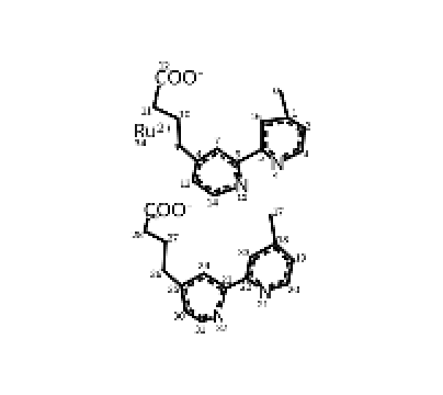 Cc1ccnc(-c2cc(CCCC(=O)[O-])ccn2)c1.Cc1ccnc(-c2cc(CCCC(=O)[O-])ccn2)c1.[Ru+2]